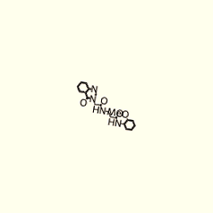 COc1ccccc1NC(=O)CCNC(=O)Cn1cnc2ccccc2c1=O